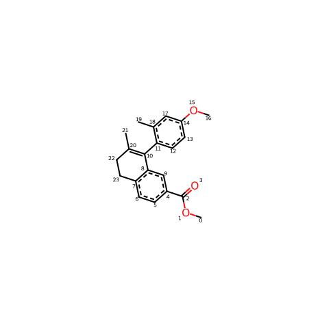 COC(=O)c1ccc2c(c1)C(c1ccc(OC)cc1C)=C(C)CC2